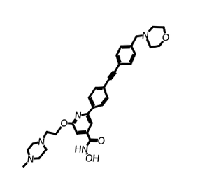 CN1CCN(CCOc2cc(C(=O)NO)cc(-c3ccc(C#Cc4ccc(CN5CCOCC5)cc4)cc3)n2)CC1